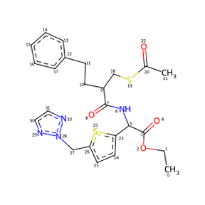 CCOC(=O)C(NC(=O)C(CCc1ccccc1)CSC(C)=O)c1ccc(Cn2nccn2)s1